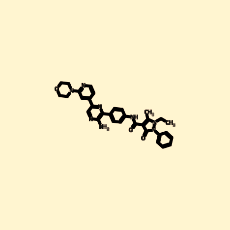 CCn1c(C)c(C(=O)Nc2ccc(-c3nc(-c4ccnc(N5CCOCC5)c4)cnc3N)cc2)c(=O)n1-c1ccccc1